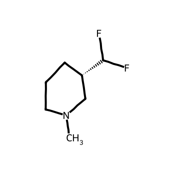 CN1CCC[C@H](C(F)F)C1